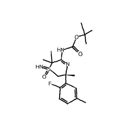 Cc1ccc(F)c([C@]2(C)CS(=N)(=O)C(C)(C)C(NC(=O)OC(C)(C)C)=N2)c1